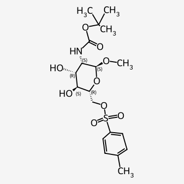 CO[C@H]1O[C@H](COS(=O)(=O)c2ccc(C)cc2)[C@@H](O)[C@H](O)[C@@H]1NC(=O)OC(C)(C)C